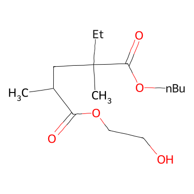 CCCCOC(=O)C(C)(CC)CC(C)C(=O)OCCO